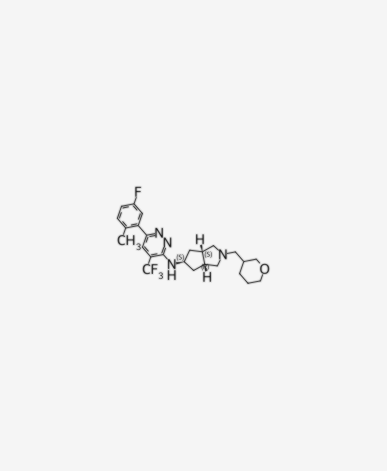 Cc1ccc(F)cc1-c1cc(C(F)(F)F)c(N[C@H]2C[C@@H]3CN(CC4CCCOC4)C[C@@H]3C2)nn1